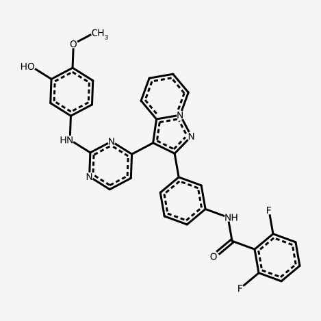 COc1ccc(Nc2nccc(-c3c(-c4cccc(NC(=O)c5c(F)cccc5F)c4)nn4ccccc34)n2)cc1O